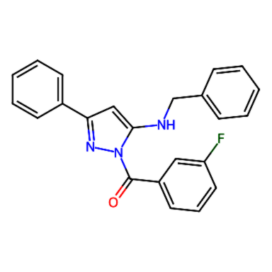 O=C(c1cccc(F)c1)n1nc(-c2ccccc2)cc1NCc1ccccc1